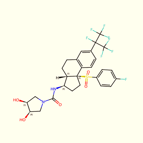 O=C(N[C@@H]1CC[C@@]2(S(=O)(=O)c3ccc(F)cc3)c3ccc(C(F)(C(F)(F)F)C(F)(F)F)cc3CC[C@@H]12)N1C[C@@H](O)[C@@H](O)C1